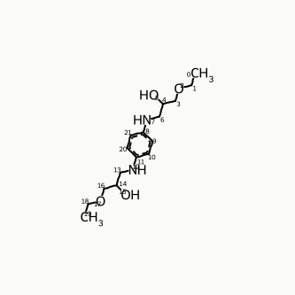 CCOCC(O)CNc1ccc(NCC(O)COCC)cc1